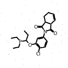 CCC(Oc1cc(N2C(=O)C3C=CCCC3C2=O)ccc1Cl)P(CC)CC